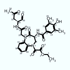 CCOC(=O)C(=O)N1C[C@H](NC(=O)c2cc(C)c(O)c(C)c2)C(=O)N(CC(=O)N[C@H](C=O)CC(C)=O)c2ccccc21